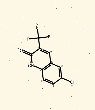 Cc1ccc2[nH]c(=O)c(C(F)(F)F)cc2c1